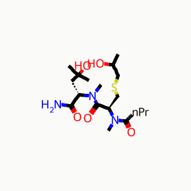 CCCC(=O)N(C)[C@H](CSCC(C)O)C(=O)N(C)[C@@H](CC(C)(C)O)C(N)=O